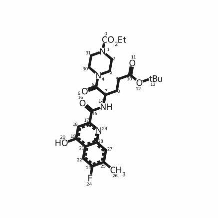 CCOC(=O)N1CCN(C(=O)C(CCC(=O)OC(C)(C)C)NC(=O)c2cc(O)c3cc(F)c(C)cc3n2)CC1